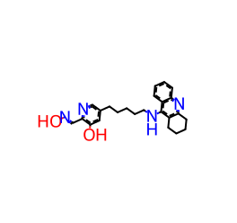 ON=Cc1ncc(CCCCCNc2c3c(nc4ccccc24)CCCC3)cc1O